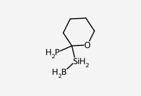 B[SiH2]C1(P)CCCCO1